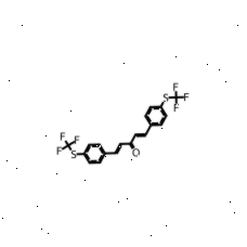 O=C(C=Cc1ccc(SC(F)(F)F)cc1)C=Cc1ccc(SC(F)(F)F)cc1